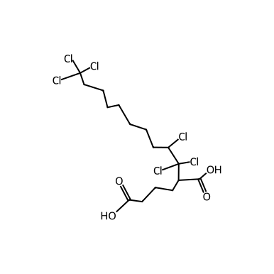 O=C(O)CCCC(C(=O)O)C(Cl)(Cl)C(Cl)CCCCCCCC(Cl)(Cl)Cl